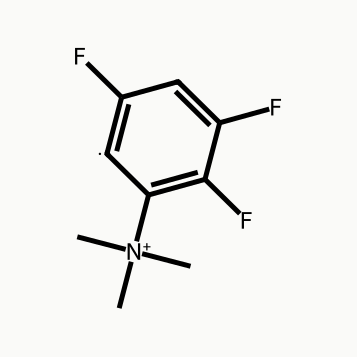 C[N+](C)(C)c1[c]c(F)cc(F)c1F